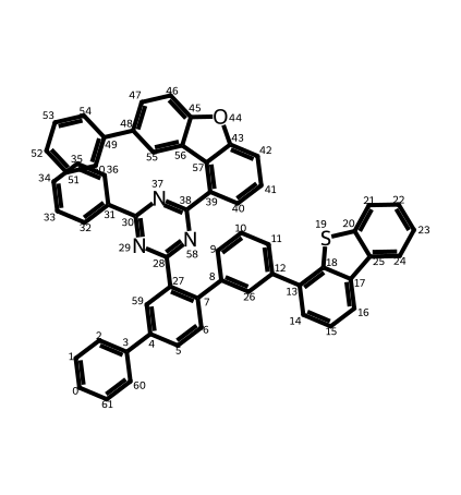 c1ccc(-c2ccc(-c3cccc(-c4cccc5c4sc4ccccc45)c3)c(-c3nc(-c4ccccc4)nc(-c4cccc5oc6ccc(-c7ccccc7)cc6c45)n3)c2)cc1